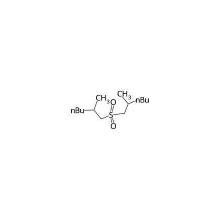 CCCCC(C)CS(=O)(=O)CC(C)CCCC